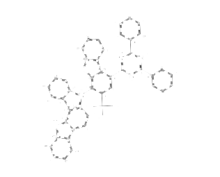 FC(F)(F)c1cc(-c2nc(-c3ccccc3)nc(-c3ccccc3)n2)c2c(oc3ccccc32)c1-n1c2ccccc2c2c3oc4ccccc4c3ccc21